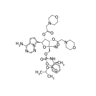 CC(C)OC(=O)[C@H](C)NP(=O)(OC[C@@]1(C#N)O[C@@H](c2ccc3c(N)ncnn23)[C@H](OC(=O)CN2CCOCC2)[C@@H]1OC(=O)CN1CCOCC1)Oc1ccccc1